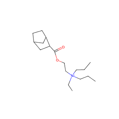 CCC[N+](CC)(CCC)CCOC(=O)C1CC2CCC1C2